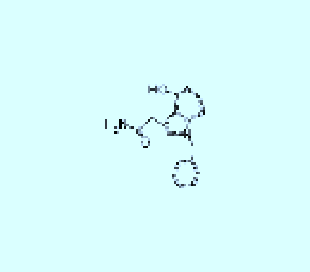 NC(=O)Cc1cn(Cc2ccccc2)c2cccc(O)c12